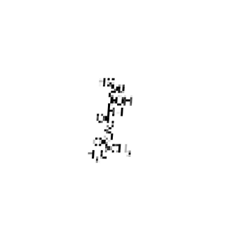 CC(C)C(=O)OCOC(=O)NC[C@H](O)CS(=O)O